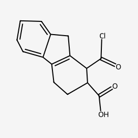 O=C(O)C1CCC2=C(Cc3ccccc32)C1C(=O)Cl